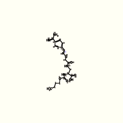 CCCCOC(=O)NC(CNC(=O)CO/N=C/c1ccc(C(=N)N)cc1)C(=O)O